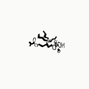 C=C(C)C(=O)OCCC(CCOP(=O)([O-])O)[N+](CCCC)(CCCC)CCCC